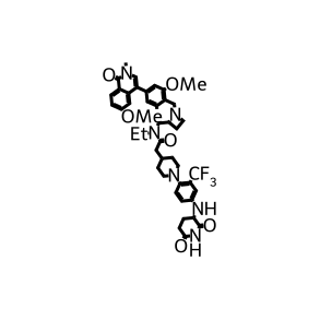 CCN(CC1CCN1Cc1c(OC)cc(-c2cn(C)c(=O)c3ccccc23)cc1OC)C(=O)CC1CCN(c2ccc(NC3CCC(=O)NC3=O)cc2C(F)(F)F)CC1